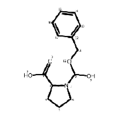 O=C(O)C1CCCN1C(O)OCc1ccccc1